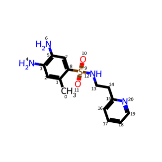 Cc1cc(N)c(N)cc1S(=O)(=O)NCCc1ccccn1